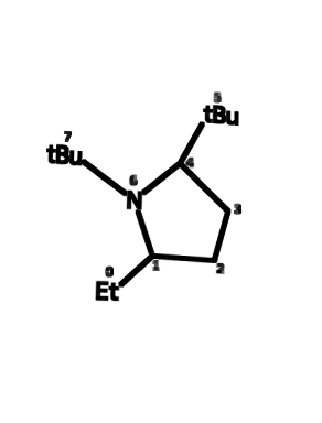 CCC1CCC(C(C)(C)C)N1C(C)(C)C